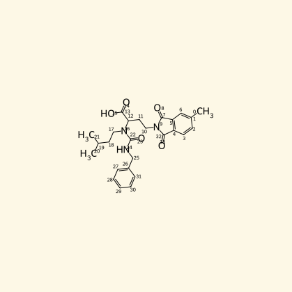 Cc1ccc2c(c1)C(=O)N(CCC(C(=O)O)N(CCC(C)C)C(=O)NCc1ccccc1)C2=O